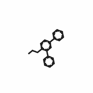 CCCc1ccc(-c2ccccc2)cc1-c1ccccc1